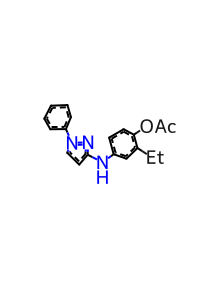 CCc1cc(Nc2ccn(-c3ccccc3)n2)ccc1OC(C)=O